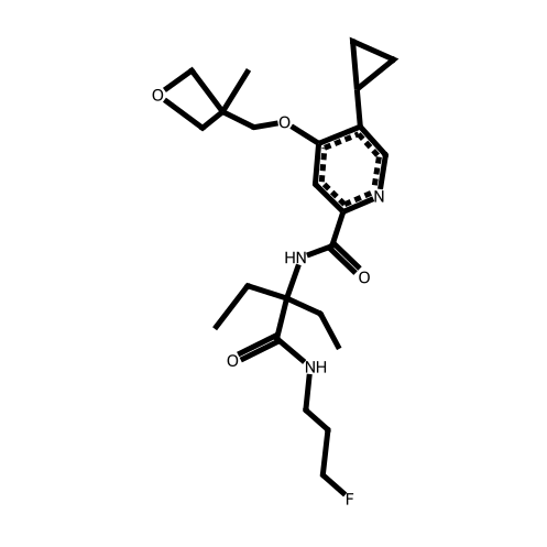 CCC(CC)(NC(=O)c1cc(OCC2(C)COC2)c(C2CC2)cn1)C(=O)NCCCF